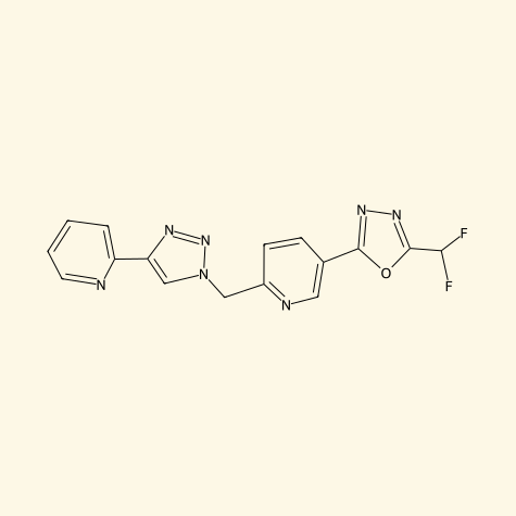 FC(F)c1nnc(-c2ccc(Cn3cc(-c4ccccn4)nn3)nc2)o1